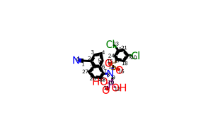 N#Cc1cccc2c(N(CP(=O)(O)O)S(=O)(=O)c3cc(Cl)cc(Cl)c3)cccc12